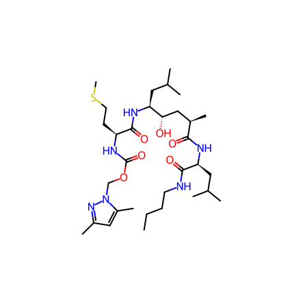 CCCCNC(=O)[C@H](CC(C)C)NC(=O)[C@H](C)C[C@H](O)[C@H](CC(C)C)NC(=O)[C@H](CCSC)NC(=O)OCn1nc(C)cc1C